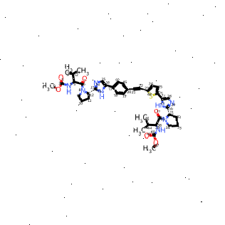 COC(=O)NC(C(=O)N1CCC[C@H]1c1ncc(-c2ccc(C#Cc3ccc(-c4cnc([C@@H]5CCCN5C(=O)[C@@H](NC(=O)OC)C(C)C)[nH]4)s3)cc2)[nH]1)C(C)C